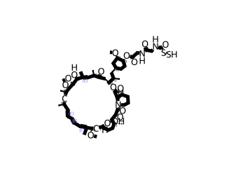 CO[C@H]1C[C@@H]2CC[C@@H](C)[C@@](O)(O2)C(=O)C(=O)N2CCCC[C@H]2C(=O)O[C@H]([C@H](C)C[C@@H]2CC[C@@H](OC(=O)CNC(=O)CNC(=O)SS)[C@H](OC)C2)CC(=O)[C@H](C)/C=C(\C)[C@@H](O)[C@@H](OC)C(=O)[C@H](C)C[C@H](C)/C=C/C=C/C=C/1C